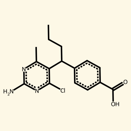 CCCC(c1ccc(C(=O)O)cc1)c1c(C)nc(N)nc1Cl